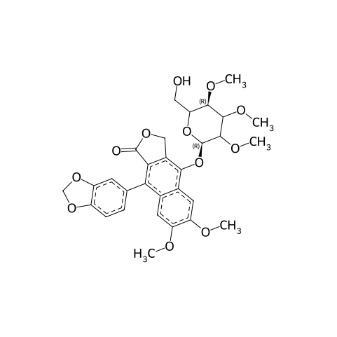 COc1cc2c(O[C@H]3OC(CO)[C@@H](OC)C(OC)C3OC)c3c(c(-c4ccc5c(c4)OCO5)c2cc1OC)C(=O)OC3